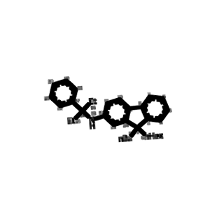 CCCCCCC1(CCCC)c2ccccc2-c2ccc(NC(CC)(CC)c3ccccc3)cc21